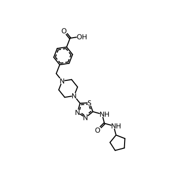 O=C(Nc1nnc(N2CCN(Cc3ccc(C(=O)O)cc3)CC2)s1)NC1CCCC1